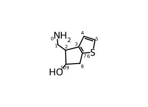 NCC1c2ccsc2CC1O